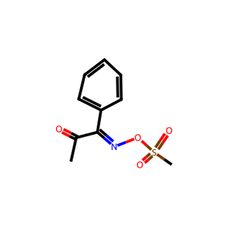 CC(=O)/C(=N/OS(C)(=O)=O)c1ccccc1